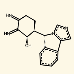 N=C1CC[C@@H]([C@H]2c3ccccc3-c3cncn32)[C@@H](O)C1=N